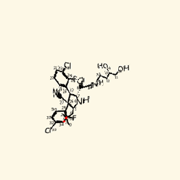 CC(C)(C)C[C@@H]1N[C@@H](C(=O)NCC[C@@H](O)CO)[C@H](c2cccc(Cl)c2F)[C@@]1(C#N)c1ccc(Cl)cc1F